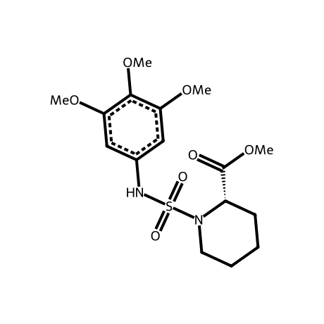 COC(=O)[C@@H]1CCCCN1S(=O)(=O)Nc1cc(OC)c(OC)c(OC)c1